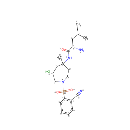 CC(C)C[C@H](N)C(=O)NC1(C)CCCN(S(=O)(=O)c2ccccc2C#N)CC1.Cl